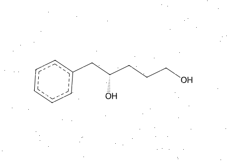 OCCC[C@H](O)Cc1ccccc1